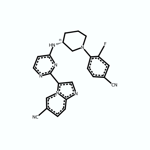 N#Cc1ccc(N2CCC[C@@H](Nc3ccnc(-c4cnc5ccc(C#N)cn45)n3)C2)c(F)c1